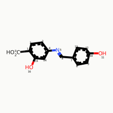 O=C(O)c1ccc(N=Cc2ccc(O)cc2)cc1O